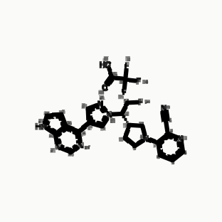 N#Cc1ncccc1N1CC[C@H](C(CF)n2cc(-c3ncnc4[nH]ccc34)cn2)C1.O=C(O)C(F)(F)F